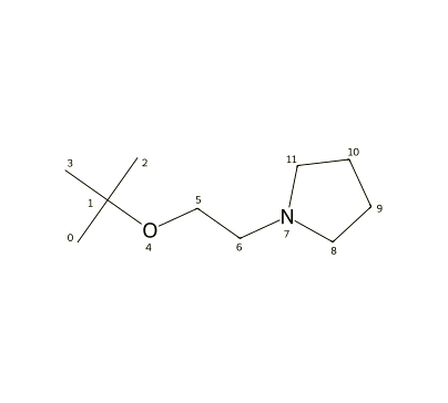 CC(C)(C)OCCN1CCCC1